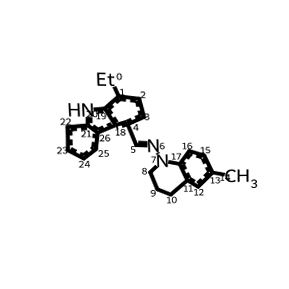 CCc1ccc(C=NN2CCCc3cc(C)ccc32)c2c1[nH]c1ccccc12